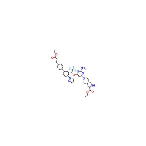 CCOC(=O)CCc1ccc(-c2ccc(-n3ccc(C)n3)c([C@@H](Oc3cc(N4CCC5(CC4)CNC(C(=O)OCC)C5)nc(N)n3)C(F)(F)F)c2)cc1